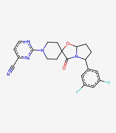 N#Cc1ccnc(N2CCC3(CC2)OC2CCC(c4cc(F)cc(F)c4)N2C3=O)n1